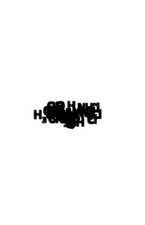 CC1(C)S[C@@H]2[C@H](NC(=O)C(NC(=O)CNC(=N)c3cc(Cl)c(Cl)c(Cl)c3)c3ccccc3)C(=O)N2[C@H]1C(=O)O